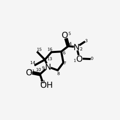 CON(C)C(=O)C1CCN(C(=O)O)C(C)(C)C1